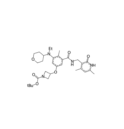 CCN(c1cc(OC2CN(C(=O)OC(C)(C)C)C2)cc(C(=O)NCc2c(C)cc(C)[nH]c2=O)c1C)C1CCOCC1